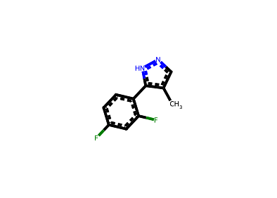 Cc1cn[nH]c1-c1ccc(F)cc1F